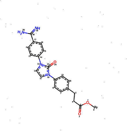 CC(C)OC(=O)CCc1ccc(-n2ccn(-c3ccc(C(=N)N)cc3)c2=O)cc1